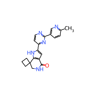 Cc1ccc(-c2nccc(-c3cc4c([nH]3)C3(CCC3)CNC4=O)n2)cn1